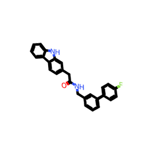 O=C(Cc1ccc2c(c1)[nH]c1ccccc12)NCc1cccc(-c2ccc(F)cc2)c1